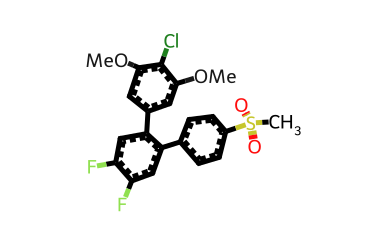 COc1cc(-c2cc(F)c(F)cc2-c2ccc(S(C)(=O)=O)cc2)cc(OC)c1Cl